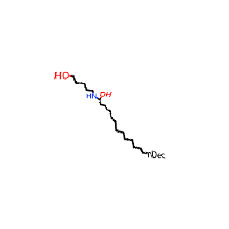 CCCCCCCCCCCCCCCCCCCCCCCC(O)NCCCCCO